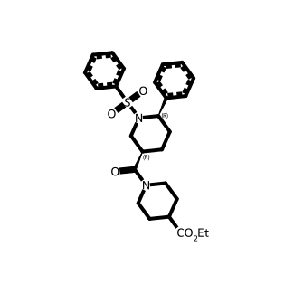 CCOC(=O)C1CCN(C(=O)[C@@H]2CC[C@H](c3ccccc3)N(S(=O)(=O)c3ccccc3)C2)CC1